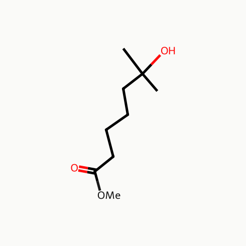 COC(=O)CCCCC(C)(C)O